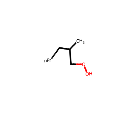 CCCCC(C)COO